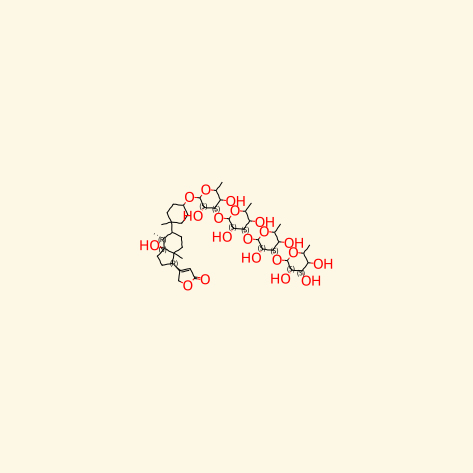 CC1OC(O[C@H]2C(O)C(C)OC(O[C@H]3C(O)C(C)OC(O[C@H]4C(O)C(C)OC(OC5CCC(C)(C6CCC7(C)[C@@H](C8=CC(=O)OC8)CC[C@]7(O)[C@@H]6C)CC5)[C@H]4O)[C@H]3O)[C@H]2O)[C@@H](O)[C@@H](O)C1O